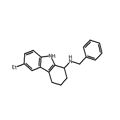 CCc1ccc2[nH]c3c(c2c1)CCCC3NCc1ccccc1